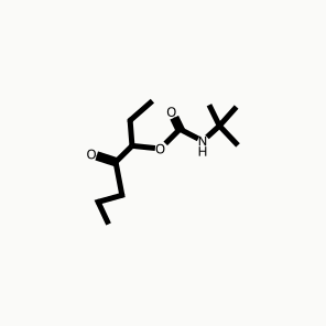 CCCC(=O)C(CC)OC(=O)NC(C)(C)C